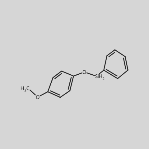 COc1ccc(O[SiH2]c2ccccc2)cc1